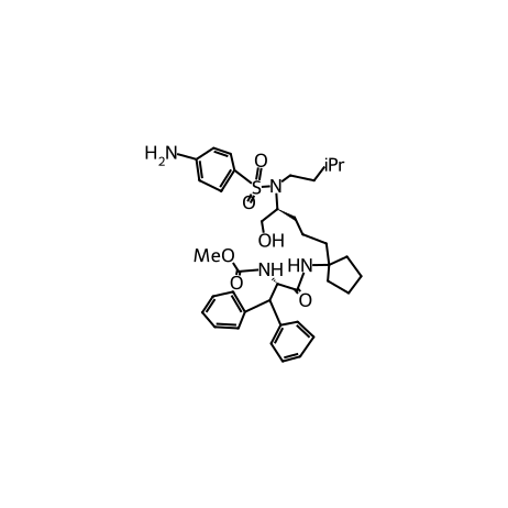 COC(=O)N[C@H](C(=O)NC1(CCC[C@@H](CO)N(CCC(C)C)S(=O)(=O)c2ccc(N)cc2)CCCC1)C(c1ccccc1)c1ccccc1